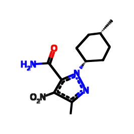 Cc1nn([C@H]2CC[C@@H](C)CC2)c(C(N)=O)c1[N+](=O)[O-]